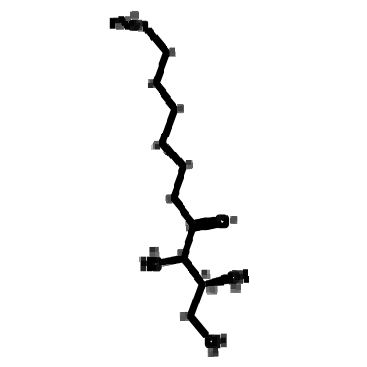 CCCCCCCCCCCCCCCC(=O)C(O)[C@@H](O)CO